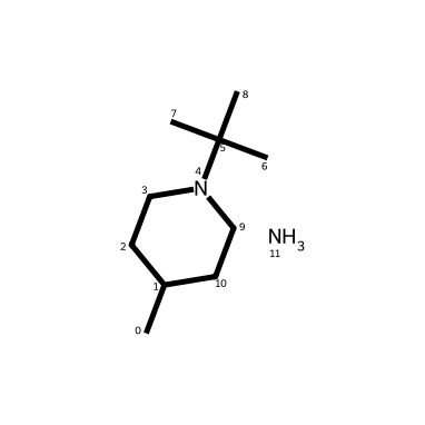 CC1CCN(C(C)(C)C)CC1.N